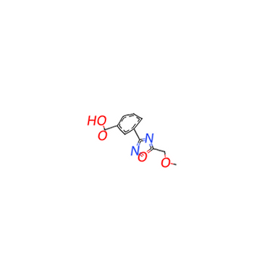 COCc1nc(-c2cccc(C(=O)O)c2)no1